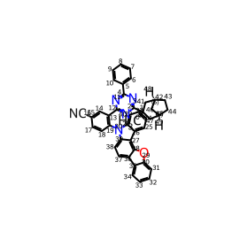 CC1(c2nc(-c3ccccc3)nc(-c3cc(C#N)ccc3-n3c4ccccc4c4c5oc6ccccc6c5ccc43)n2)C[C@H]2CC[C@@H](C2)C1